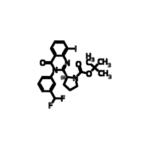 CC(C)(C)OC(=O)N1CCC[C@H]1c1nc2c(I)cccc2c(=O)n1-c1cccc(C(F)F)c1